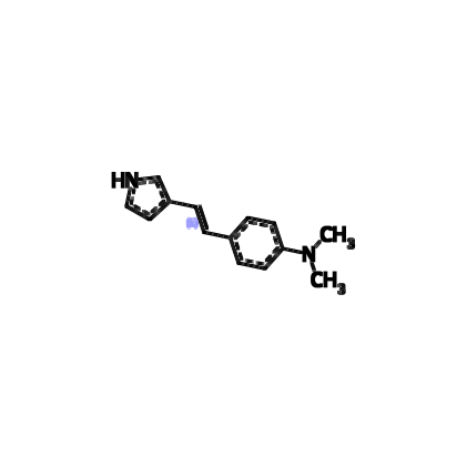 CN(C)c1ccc(/C=C/c2cc[nH]c2)cc1